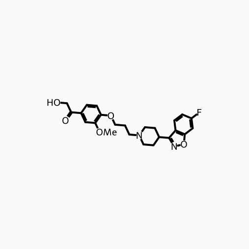 COc1cc(C(=O)CO)ccc1OCCCN1CCC(c2noc3cc(F)ccc23)CC1